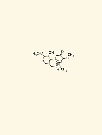 COC1=CC2[C@@H]3Cc4ccc(OC)c(O)c4[C@]2(CCN3C)CC1=O